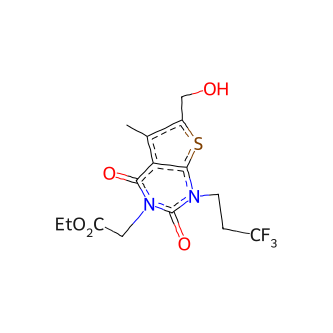 CCOC(=O)Cn1c(=O)c2c(C)c(CO)sc2n(CCC(F)(F)F)c1=O